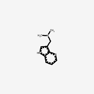 CN(C)Cc1c[nH]c2cccnc12